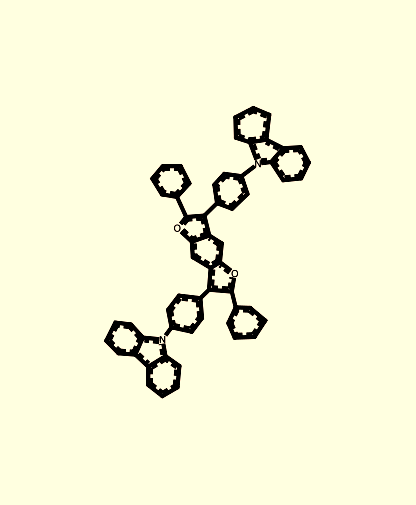 c1ccc(-c2oc3cc4c(-c5ccc(-n6c7ccccc7c7ccccc76)cc5)c(-c5ccccc5)oc4cc3c2-c2ccc(-n3c4ccccc4c4ccccc43)cc2)cc1